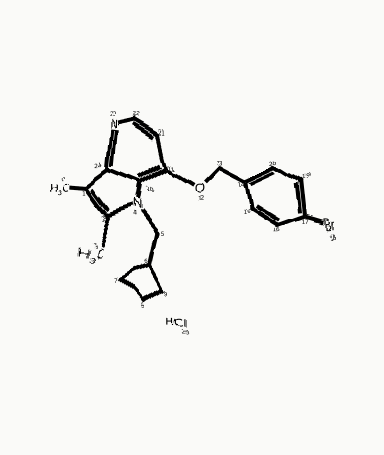 Cc1c(C)n(CC2CCC2)c2c(OCc3ccc(Br)cc3)ccnc12.Cl